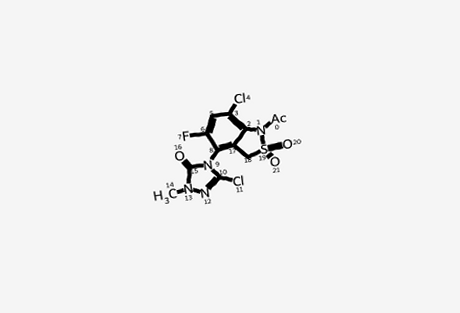 CC(=O)N1c2c(Cl)cc(F)c(-n3c(Cl)nn(C)c3=O)c2CS1(=O)=O